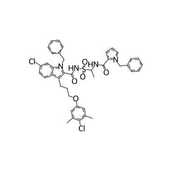 Cc1cc(OCCCc2c(C(=O)NS(=O)(=O)C(C)NC(=O)c3cccn3Cc3ccccc3)n(Cc3ccccc3)c3cc(Cl)ccc23)cc(C)c1Cl